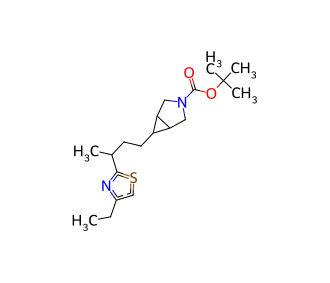 CCc1csc(C(C)CCC2C3CN(C(=O)OC(C)(C)C)CC23)n1